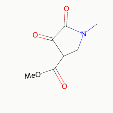 COC(=O)C1CN(C)C(=O)C1=O